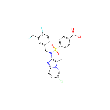 Cc1c(N(Cc2ccc(F)c(CF)c2)S(=O)(=O)c2ccc(C(=O)O)cc2)nc2ccc(Cl)cn12